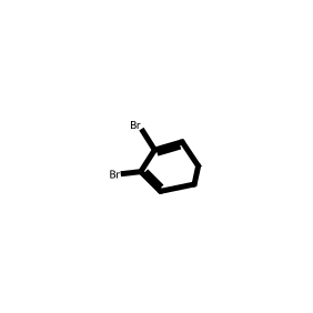 BrC1=C[CH]CC=C1Br